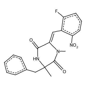 CN1C(=O)C(C)(Cc2ccccc2)NC(=O)C1=Cc1c(F)cccc1[N+](=O)[O-]